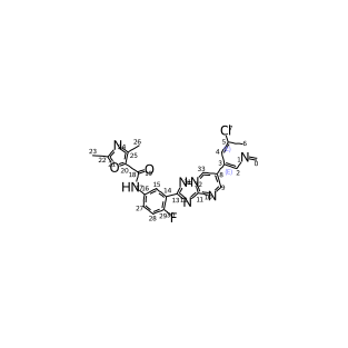 C=N/C=C(\C=C(/C)Cl)c1cnc2nc(-c3cc(NC(=O)c4oc(C)nc4C)ccc3F)nn2c1